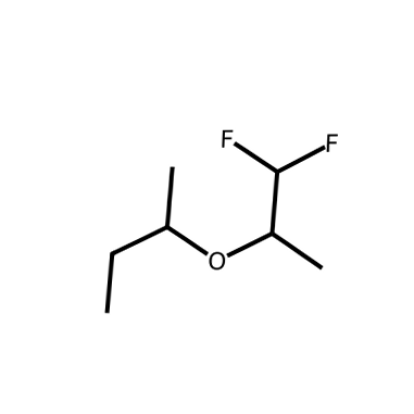 CCC(C)OC(C)C(F)F